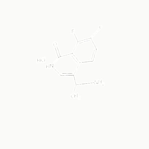 CC(N)c1c[nH]c(=O)c2c(F)c(F)ccc12.Cl